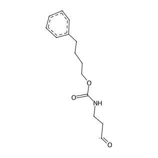 O=[C]CCNC(=O)OCCCCc1ccccc1